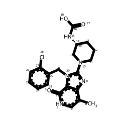 Cc1c[nH]c(=O)c2c1nc(N1CCC[C@@H](NC(=O)O)C1)n2Cc1ccccc1Cl